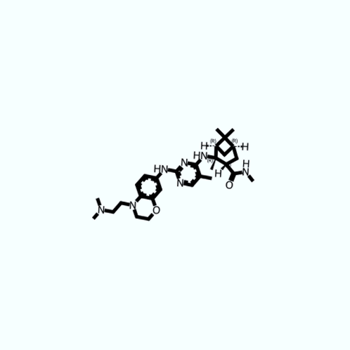 CNC(=O)[C@H]1C[C@H]2C[C@H](C2(C)C)[C@@]1(C)Nc1nc(Nc2ccc3c(c2)OCCN3CCN(C)C)ncc1C